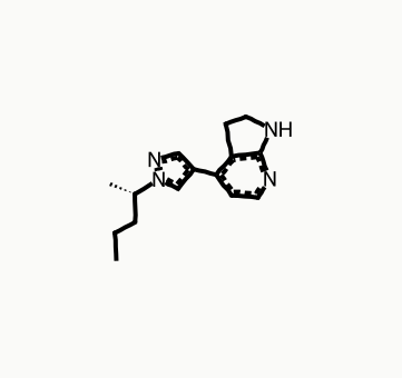 CCC[C@H](C)n1cc(-c2ccnc3c2CCN3)cn1